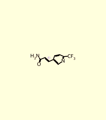 NC(=O)/C=C/c1ccc(C(F)(F)F)nc1